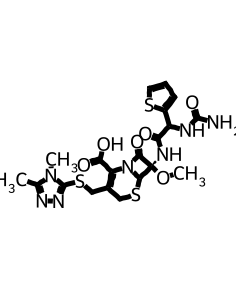 CO[C@]1(NC(=O)C(NC(N)=O)c2cccs2)C(=O)N2C(C(=O)O)=C(CSc3nnc(C)n3C)CSC21